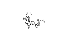 CC(C)(N)CC(=O)N[C@@H]1CSc2cc(F)ccc2N(Cc2ccc(-c3ccccc3CNC(N)=O)cc2)C1=O